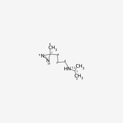 CC(C)NCCCC1(C)N=N1